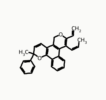 C=CC1=C(/C=C\C)c2c(c3c(c4ccccc24)OC(C)(c2ccccc2)C=C3)CO1